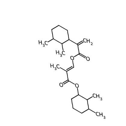 C=C(C(=O)OC=C(C)C(=O)OC1CCCC(C)C1C)C1CCCC(C)C1C